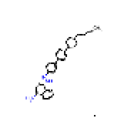 CCCCCC1CCC(c2ccc(-c3ccc(NNc4ccc(N)c5ccccc45)cc3)cc2)CC1